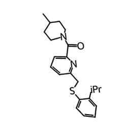 CC1CCN(C(=O)c2cccc(CSc3ccccc3C(C)C)n2)CC1